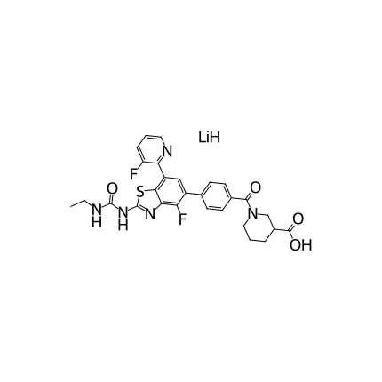 CCNC(=O)Nc1nc2c(F)c(-c3ccc(C(=O)N4CCCC(C(=O)O)C4)cc3)cc(-c3ncccc3F)c2s1.[LiH]